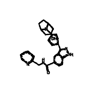 O=C(NCc1ccccn1)c1ccc2[nH]nc(-c3ccc(N4C5CCC4CC(O)C5)cc3)c2c1